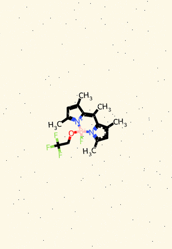 CC1=CC(C)=[N+]2C1=C(C)c1c(C)cc(C)n1[B-]2(F)OCC(F)(F)F